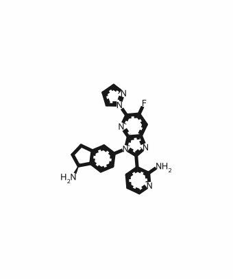 Nc1ncccc1-c1nc2cc(F)c(-n3cccn3)nc2n1-c1ccc2c(c1)CC[C@@H]2N